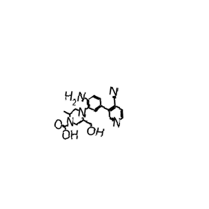 CC1CN(c2cc(-c3cnccc3C#N)ccc2N)C(CO)CN1C(=O)O